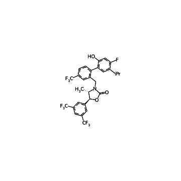 CC(C)c1cc(-c2ccc(C(F)(F)F)cc2CN2C(=O)O[C@@H](c3cc(C(F)(F)F)cc(C(F)(F)F)c3)[C@@H]2C)c(O)cc1F